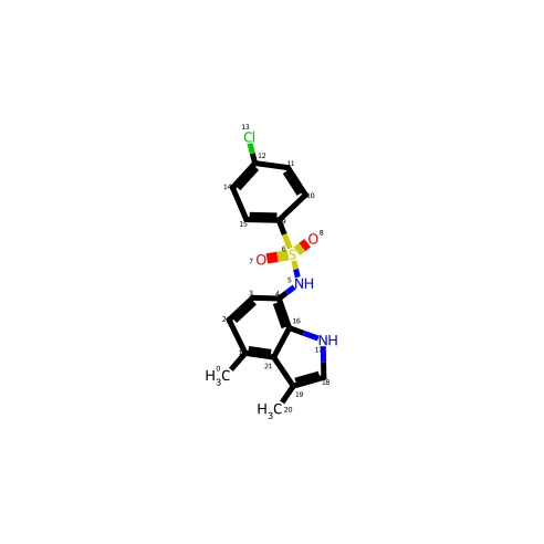 Cc1ccc(NS(=O)(=O)c2ccc(Cl)cc2)c2[nH]cc(C)c12